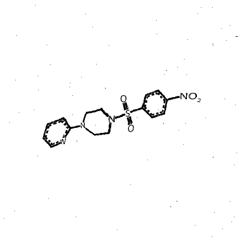 O=[N+]([O-])c1ccc(S(=O)(=O)N2CCN(c3ccccn3)CC2)cc1